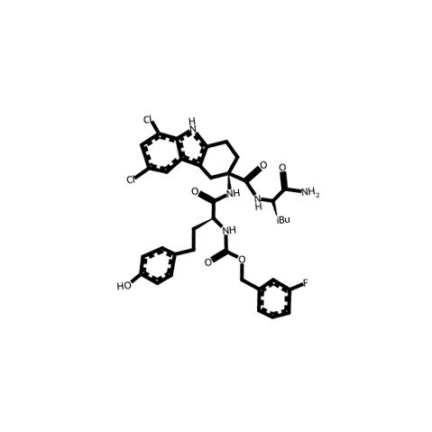 CC[C@H](C)C(NC(=O)[C@@]1(NC(=O)[C@H](CCc2ccc(O)cc2)NC(=O)OCc2cccc(F)c2)CCc2[nH]c3c(Cl)cc(Cl)cc3c2C1)C(N)=O